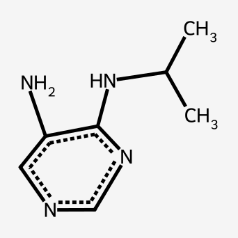 CC(C)Nc1ncncc1N